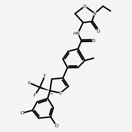 CCN1OCC(NC(=O)c2ccc(C3=CS[C@@](c4cc(Cl)cc(Cl)c4)(C(F)(F)F)C3)cc2C)C1=O